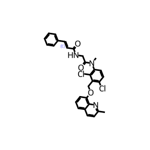 Cc1ccc2cccc(OCc3c(Cl)ccc(N(C)C(=O)CNC(=O)/C=C/c4ccccc4)c3Cl)c2n1